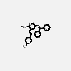 COc1ncc(N=C(c2ccccc2)c2ccccc2)cc1C=CC1CCC(C(F)(F)F)OC1